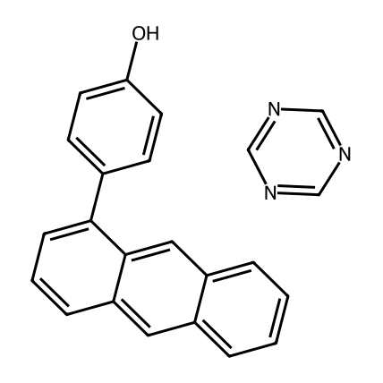 Oc1ccc(-c2cccc3cc4ccccc4cc23)cc1.c1ncncn1